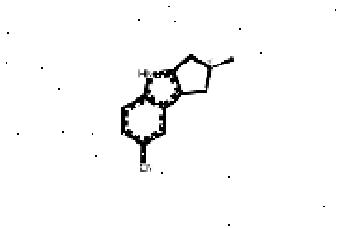 C[C@@H]1Cc2[nH]c3ccc(C#N)cc3c2C1